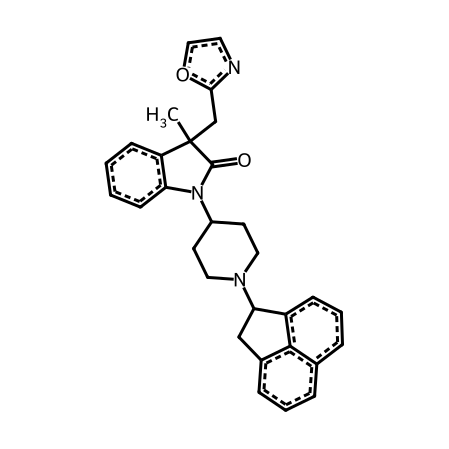 CC1(Cc2ncco2)C(=O)N(C2CCN(C3Cc4cccc5cccc3c45)CC2)c2ccccc21